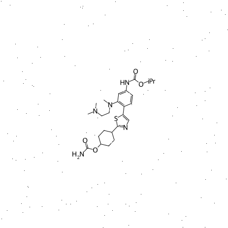 CC(C)OC(=O)Nc1ccc(-c2cnc(C3CCC(OC(N)=O)CC3)s2)c(N(C)CCN(C)C)c1